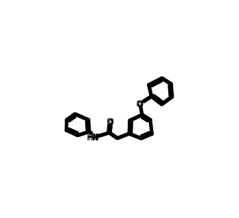 O=C(Cc1cccc(Oc2ccccc2)c1)Nc1c[c]ccc1